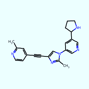 Cc1cc(C#Cc2cn(-c3cncc(C4CCCN4)c3)c(C)n2)ccn1